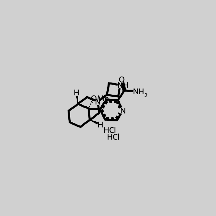 CO[C@@]1(c2ccnc(C(N)=O)c2)[C@@H]2CCC[C@H]1CN(C1CNC1)C2.Cl.Cl